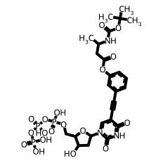 CC(CC(=O)Oc1cccc(C#Cc2cn(C3CC(O)C(COP(=O)(O)OP(=O)(O)OP(=O)(O)O)O3)c(=O)[nH]c2=O)c1)NC(=O)OC(C)(C)C